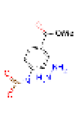 COC(=O)c1ccc(N=S(=O)=O)cc1.NN